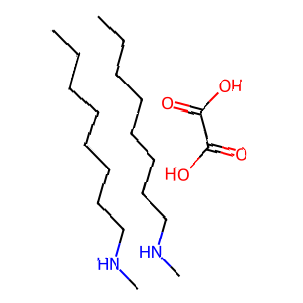 CCCCCCCCNC.CCCCCCCCNC.O=C(O)C(=O)O